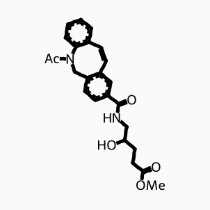 COC(=O)CCC(O)CNC(=O)c1ccc2c(c1)/C=C\c1ccccc1N(C(C)=O)C2